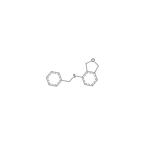 c1ccc(CSc2cccc3c2COC3)cc1